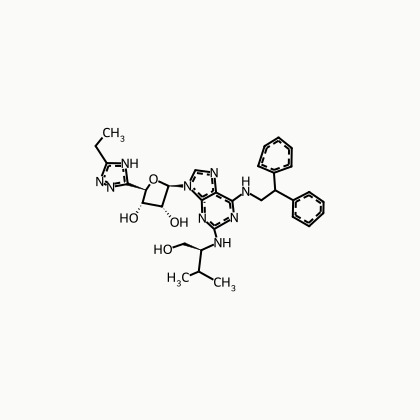 CCc1nnc([C@H]2O[C@@H](n3cnc4c(NCC(c5ccccc5)c5ccccc5)nc(N[C@H](CO)C(C)C)nc43)[C@H](O)[C@@H]2O)[nH]1